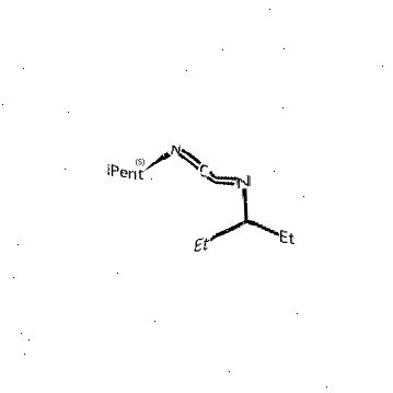 CCC[C@H](C)N=C=NC(CC)CC